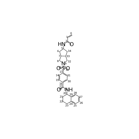 C=CC(=O)NC1CC2CN(S(=O)(=O)c3ccc(C(=O)NC4CCCc5ccccc54)cc3)CC2C1